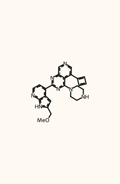 COCc1cc2c(-c3nc(N4CCNCC4)c4c(C5=CC=C5)cncc4n3)ccnc2[nH]1